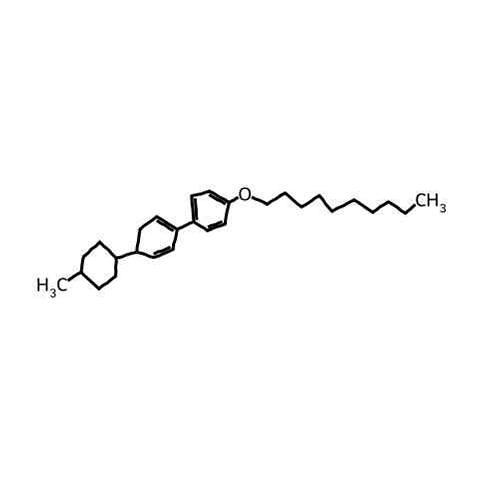 CCCCCCCCCCOc1ccc(C2=CCC(C3CCC(C)CC3)C=C2)cc1